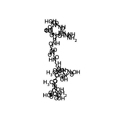 Cc1cc(-c2ccc(NC(=O)[C@@H](CCCCNC(=O)CCN3C(=O)CC(SCC(=O)NCCCC[C@H]4NC(=O)C(Cc5ccccc5)NC(=O)[C@H](CC(=O)O)NC(=O)CNC(=O)[C@H](CCCNC(=N)N)NC4=O)C3=O)NC(=O)CN3CCN(CC(=O)O)CCN(CC(=O)O)CC3)c(C)c2)ccc1/N=N/c1ccc2c(S(=O)(=O)O)cc(S(=O)(=O)O)c(N)c2c1O